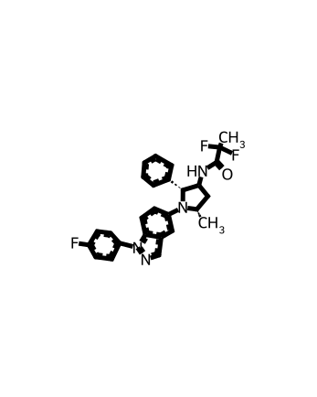 C[C@H]1CC(NC(=O)C(C)(F)F)[C@@H](c2ccccc2)N1c1ccc2c(cnn2-c2ccc(F)cc2)c1